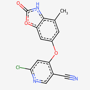 Cc1cc(Oc2cc(Cl)ncc2C#N)cc2oc(=O)[nH]c12